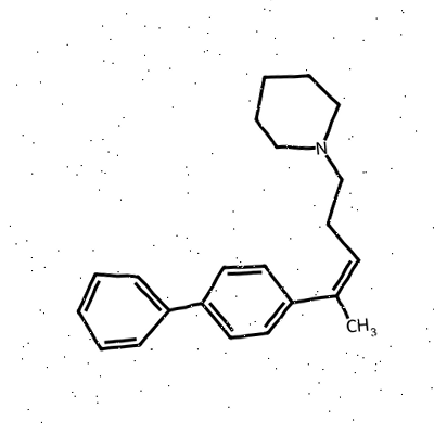 CC(=CCCN1CCCCC1)c1ccc(-c2ccccc2)cc1